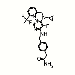 CC(F)(F)c1cccc(CN(c2ncnc(NCc3ccc(CC(N)=O)cc3)c2F)C2CC2)n1